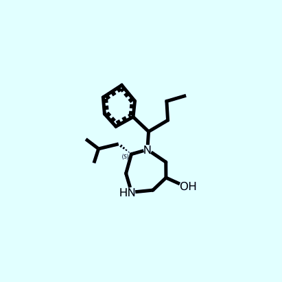 CCCC(c1ccccc1)N1CC(O)CNC[C@@H]1CC(C)C